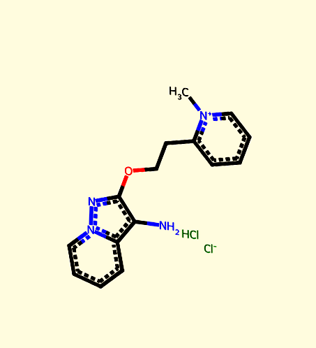 C[n+]1ccccc1CCOc1nn2ccccc2c1N.Cl.[Cl-]